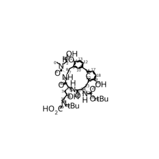 CN(CCO)C(=O)[C@@H]1Cc2cc(ccc2O)-c2ccc(O)c(c2)C[C@H](NC(=O)OC(C)(C)C)C(=O)N[C@@H](C[C@@H](O)CN(C(=O)O)C(C)(C)C)C(=O)N1